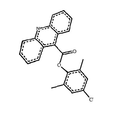 Cc1cc(Cl)cc(C)c1OC(=O)c1c2ccccc2nc2ccccc12